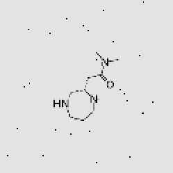 CN(C)C(=O)CC1CNCCC[N]1